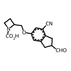 N#Cc1cc(OCC2CCN2C(=O)O)cc2c1CC(C=O)C2